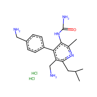 Cc1nc(CC(C)C)c(CN)c(-c2ccc(CN)cc2)c1NC(N)=O.Cl.Cl